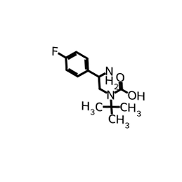 CC(C)(C)N(CC(N)c1ccc(F)cc1)C(=O)O